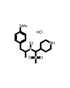 CCN(C(C)Cc1ccc(SC)cc1)C(C1CCNCC1)S(C)(=O)=O.Cl